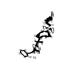 CC(C)(c1ccc(S(=O)(=O)C=CC#N)cc1)c1nnc(C2CCCCC2)o1